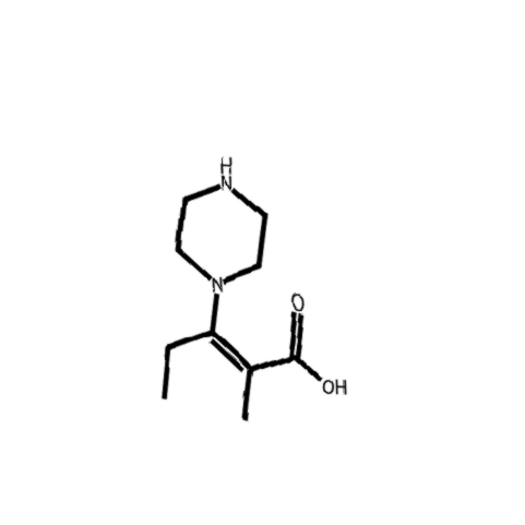 CCC(=C(C)C(=O)O)N1CCNCC1